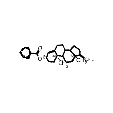 C=C1CCC2C3CCC4=C[C@@H](OC(=O)c5ccccc5)CC[C@]4(C)C3CC[C@]12C